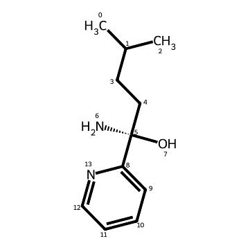 CC(C)CC[C@@](N)(O)c1ccccn1